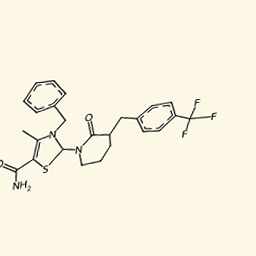 CC1=C(C(N)=O)SC(N2CCCC(Cc3ccc(C(F)(F)F)cc3)C2=O)N1Cc1ccccc1